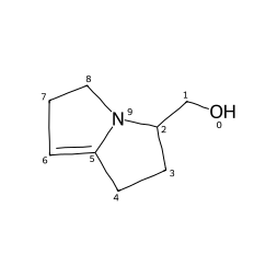 OCC1CCC2=CCCN21